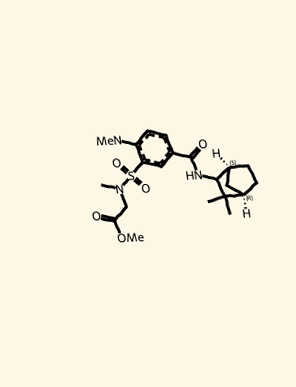 CNc1ccc(C(=O)NC2[C@H]3CC[C@H](C3)C2(C)C)cc1S(=O)(=O)N(C)CC(=O)OC